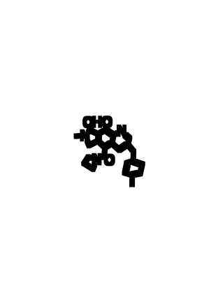 Cc1ccc(Cc2cnc3c(O)c4c(c(C(=O)N5CCC5)c3c2)CN(C)C4=O)cc1